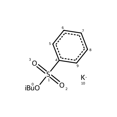 CC(C)COS(=O)(=O)c1ccccc1.[K]